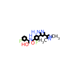 Cc1nn(C)cc1-c1cnc(N)c(-c2ccc(C(=O)NC(CO)c3cccc(F)c3)c(F)c2)c1